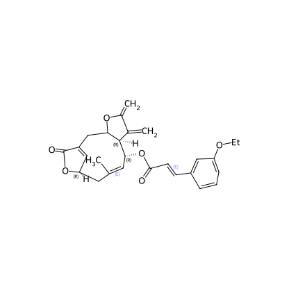 C=C1OC2CC3=C[C@@H](C/C(C)=C/[C@@H](OC(=O)/C=C/c4cccc(OCC)c4)[C@@H]2C1=C)OC3=O